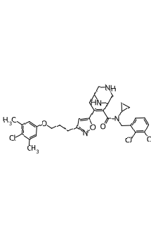 Cc1cc(OCCCc2cc(C3=C(C(=O)N(Cc4cccc(Cl)c4Cl)C4CC4)C4CNCC(C3)N4)on2)cc(C)c1Cl